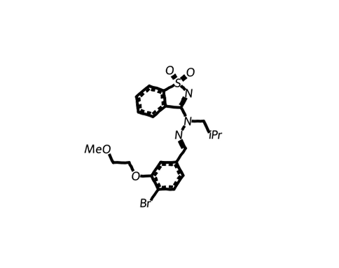 COCCOc1cc(/C=N/N(CC(C)C)C2=NS(=O)(=O)c3ccccc32)ccc1Br